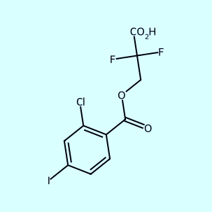 O=C(OCC(F)(F)C(=O)O)c1ccc(I)cc1Cl